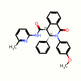 COc1ccc(N2C(=O)c3ccccc3[C@H](C(=O)Nc3cccc(C)n3)[C@H]2c2ccccc2)cc1